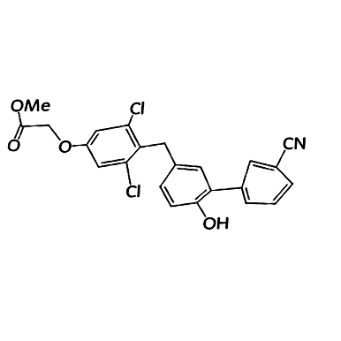 COC(=O)COc1cc(Cl)c(Cc2ccc(O)c(-c3cccc(C#N)c3)c2)c(Cl)c1